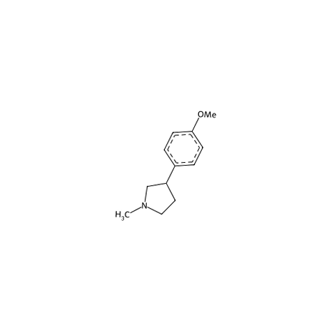 COc1ccc(C2CCN(C)C2)cc1